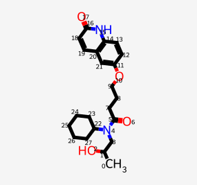 CC(O)CN(C(=O)CCCOc1ccc2[nH]c(=O)ccc2c1)C1CCCCC1